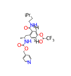 [3H]c1cc(C[C@H](C)NC(=O)OCc2ccncc2)c(C(=O)NCCC(C)C)c([3H])c1OC(=O)C(F)(F)F